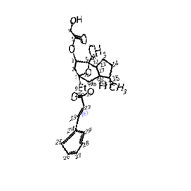 CCC12CC(OC(=O)CO)C(C)(O1)C1CCC(C)[C@H]1[C@@H]2OC(=O)/C=C/c1ccccc1